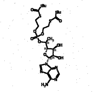 C[C@H](OP(=O)(OCCSC(=O)C(C)(C)C)OCCSC(=O)C(C)(C)C)[C@H]1O[C@@H](n2cnc3c(N)ncnc32)[C@H](O)[C@@H]1O